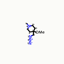 COC1(CN=[N+]=[N-])CCN(C)CC1